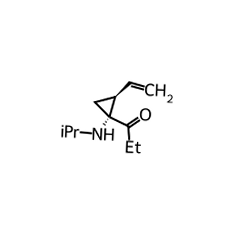 C=C[C@@H]1C[C@]1(NC(C)C)C(=O)CC